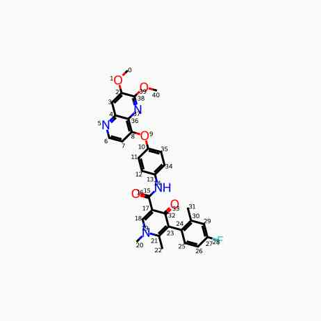 COc1cc2nccc(Oc3ccc(NC(=O)c4cn(C)c(C)c(-c5ccc(F)cc5C)c4=O)cc3)c2nc1OC